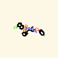 CCn1c(C(NS(=O)(=O)c2ccc3c(Cl)cccc3c2)c2ccccc2)cnc1Oc1ccc(F)cc1